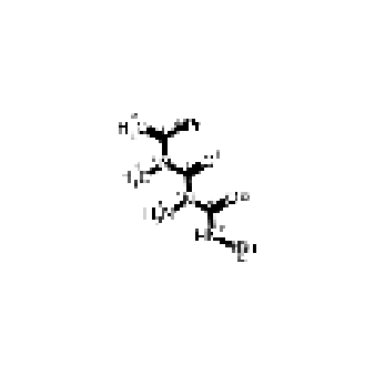 C=C(C(C)C)N(C)C(=O)N(N)C(=O)NC(C)(C)C